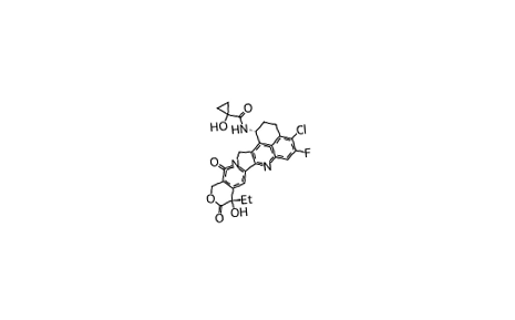 CC[C@@]1(O)C(=O)OCc2c1cc1n(c2=O)Cc2c-1nc1cc(F)c(Cl)c3c1c2[C@H](NC(=O)C1(O)CC1)CC3